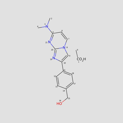 CC(=O)O.CN(C)c1ccn2cc(-c3ccc(CO)cc3)nc2n1